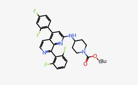 CC(C)(C)OC(=O)N1CCC(Nc2cc(-c3ccc(F)cc3F)c3ccnc(-c4c(F)cccc4F)c3n2)CC1